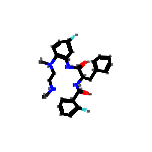 CCNCCN(CC)c1ccc(F)cc1NC(=O)C(Cc1ccccc1)NC(=O)c1ccccc1F